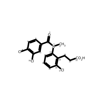 CN(C(=O)c1ccc(Cl)c(Cl)c1)c1cccc(Cl)c1CCC(=O)O